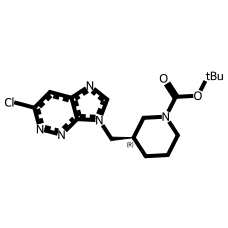 CC(C)(C)OC(=O)N1CCC[C@@H](Cn2cnc3cc(Cl)nnc32)C1